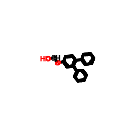 OBOc1ccc(-c2ccccc2)c(-c2ccccc2)c1